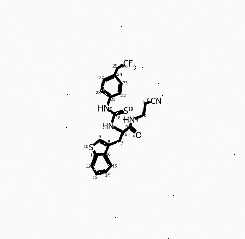 N#CCCNC(=O)C(Cc1csc2ccccc12)NC(=S)Nc1ccc(CC(F)(F)F)cc1